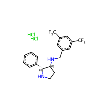 Cl.Cl.FC(F)(F)c1cc(CN[C@@H]2CCN[C@@H]2c2ccccc2)cc(C(F)(F)F)c1